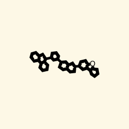 c1cc(-c2ccc3ccc(-c4ccc5oc6ccccc6c5c4)cc3c2)cc(-c2cc3ccccc3c3ccccc23)c1